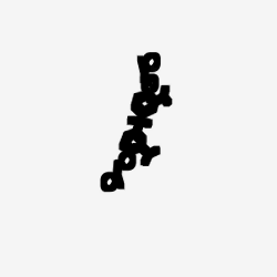 CC(C)c1cc(C(C)(C)c2ccc(OCC3CO3)c(C(C)C)c2)ccc1OCC1CO1